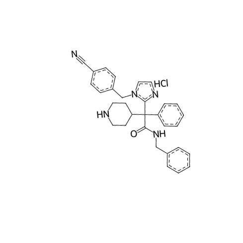 Cl.N#Cc1ccc(Cn2ccnc2C(C(=O)NCc2ccccc2)(c2ccccc2)C2CCNCC2)cc1